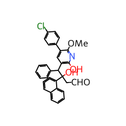 COc1nc(O)c(C(c2ccccc2)C(O)(CC=O)C2=C=C=Cc3ccccc32)cc1-c1ccc(Cl)cc1